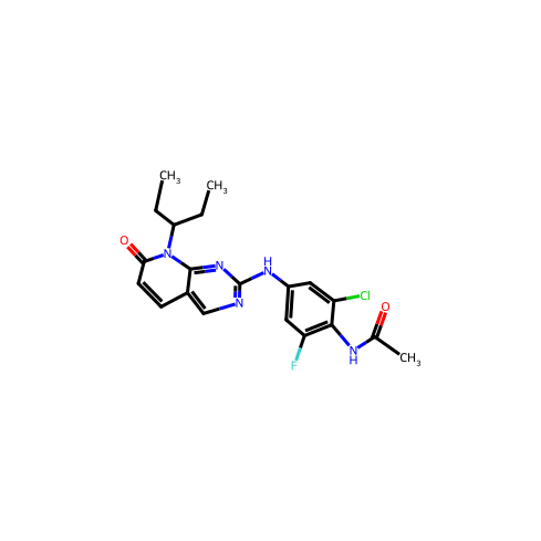 CCC(CC)n1c(=O)ccc2cnc(Nc3cc(F)c(NC(C)=O)c(Cl)c3)nc21